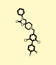 O=C1OC2(CCN(Cc3cc(Cl)c(-c4ccc(F)c(F)c4)c(Cl)c3)CC2)CN1c1ccccc1